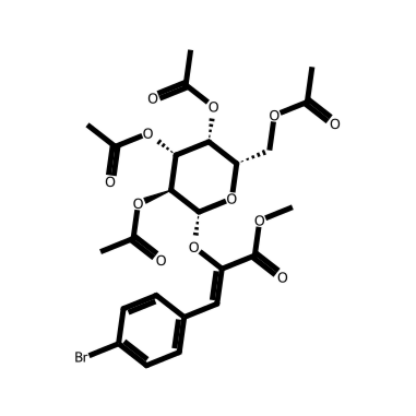 COC(=O)/C(=C/c1ccc(Br)cc1)O[C@H]1O[C@@H](COC(C)=O)[C@@H](OC(C)=O)[C@@H](OC(C)=O)[C@@H]1OC(C)=O